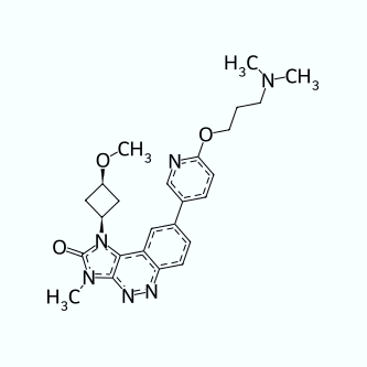 CO[C@H]1C[C@@H](n2c(=O)n(C)c3nnc4ccc(-c5ccc(OCCCN(C)C)nc5)cc4c32)C1